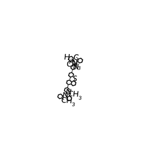 Cc1ccccc1N(c1ccc(-c2ccc3c(c2)Sc2cccc4c(-c5ccc(N(c6ccccc6C)c6ccccc6C)nc5)ccc-3c24)cn1)c1ccccc1C